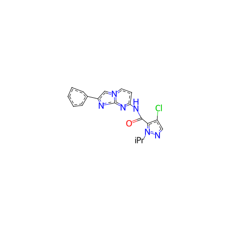 CC(C)n1ncc(Cl)c1C(=O)Nc1ccn2cc(-c3ccccc3)nc2n1